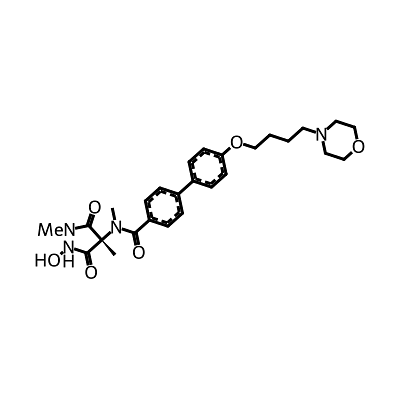 CNC(=O)[C@@](C)(C(=O)NO)N(C)C(=O)c1ccc(-c2ccc(OCCCCN3CCOCC3)cc2)cc1